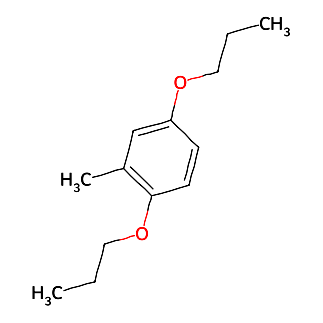 CCCOc1ccc(OCCC)c(C)c1